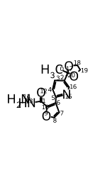 CC1(c2ccc(-c3ccoc3C(=O)NN)nc2)OCCO1